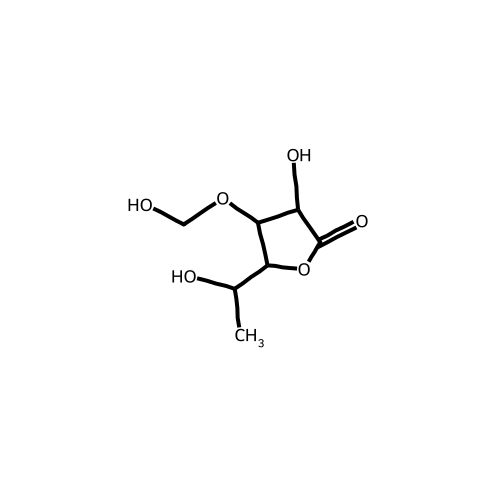 CC(O)C1OC(=O)C(O)C1OCO